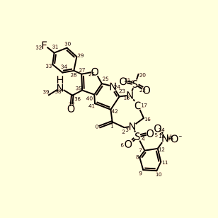 C=C1CN(S(=O)(=O)c2ccccc2[N+](=O)[O-])CCN(S(C)(=O)=O)c2nc3oc(-c4ccc(F)cc4)c(C(=O)NC)c3cc21